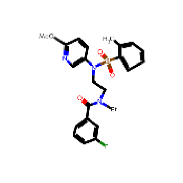 CCN(CCN(c1ccc(OC)nc1)S(=O)(=O)c1ccccc1C)C(=O)c1cccc(F)c1